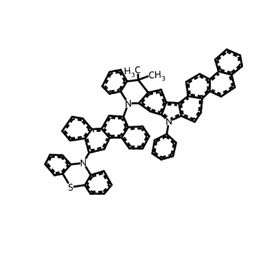 CC1(C)c2ccccc2N(c2cc3c4ccccc4c(N4c5ccccc5Sc5ccccc54)cc3c3ccccc23)c2cc3c(cc21)c1c2ccc4c5ccccc5ccc4c2ccc1n3-c1ccccc1